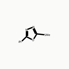 CSc1nnc(C(C)C)o1